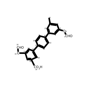 Cc1cc(OC=O)cc(-c2ccc(-c3cc(OC=O)cc(C(=O)O)c3)cc2)c1